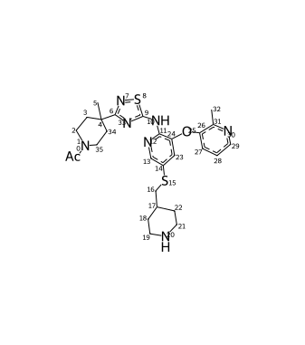 CC(=O)N1CCC(C)(c2nsc(Nc3ncc(SCC4CCNCC4)cc3Oc3cccnc3C)n2)CC1